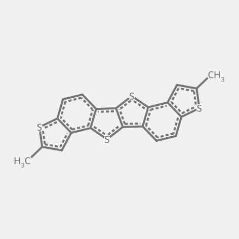 Cc1cc2c(ccc3c2sc2c4ccc5sc(C)cc5c4sc32)s1